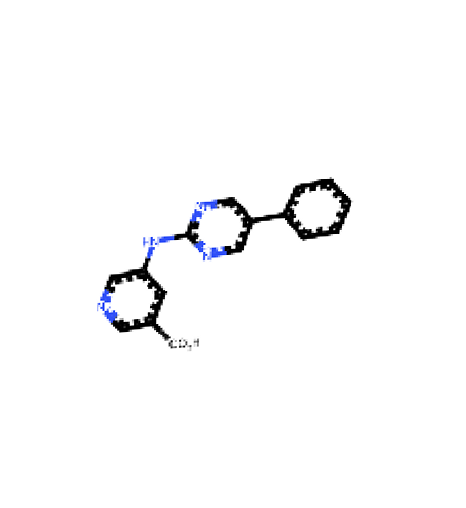 O=C(O)c1cncc(Nc2ncc(-c3ccccc3)cn2)c1